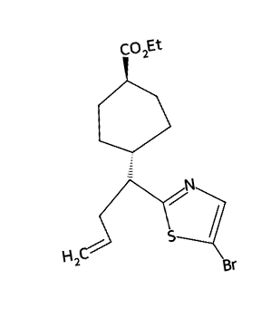 C=CCC(c1ncc(Br)s1)[C@H]1CC[C@H](C(=O)OCC)CC1